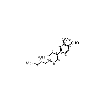 COC[C@@H](O)CN1CCC(c2ccc(C=O)c(OC)c2)CC1